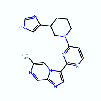 FC(F)(F)c1cn2c(-c3nccc(N4CCCC(c5c[nH]cn5)C4)n3)cnc2cn1